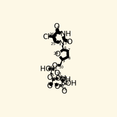 O=c1[nH]c(=O)n([C@H]2CC[C@@H](COP(=O)(O)OP(=O)(O)OP(=O)(O)O)O2)cc1Cl